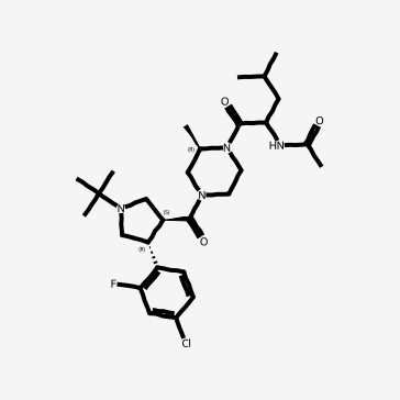 CC(=O)NC(CC(C)C)C(=O)N1CCN(C(=O)[C@@H]2CN(C(C)(C)C)C[C@H]2c2ccc(Cl)cc2F)C[C@H]1C